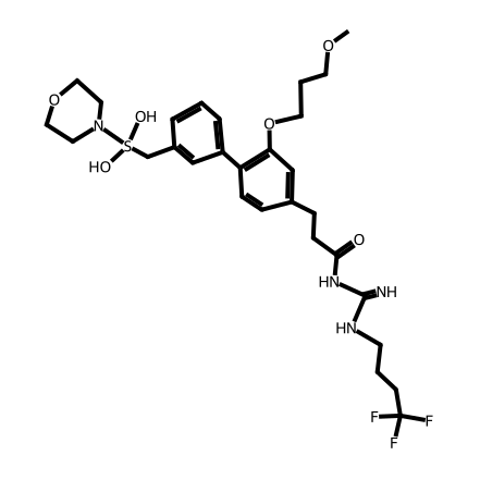 COCCCOc1cc(CCC(=O)NC(=N)NCCCC(F)(F)F)ccc1-c1cccc(CS(O)(O)N2CCOCC2)c1